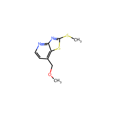 COCc1ccnc2nc(SC)sc12